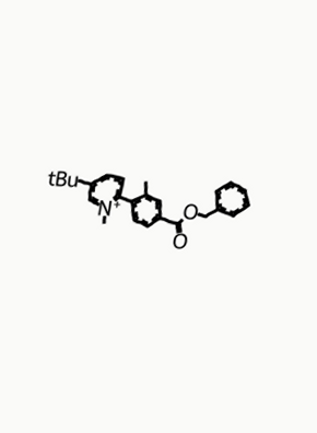 Cc1cc(C(=O)OCc2ccccc2)ccc1-c1ccc(C(C)(C)C)c[n+]1C